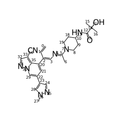 C=C/C(=C\N=C(/C)N1CCC(NC(=O)C(C)(C)O)CC1)c1cc(-c2cnn(C)c2)cn2ncc(C#N)c12